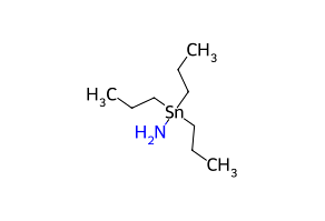 CC[CH2][Sn]([NH2])([CH2]CC)[CH2]CC